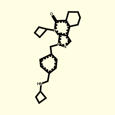 O=c1c2c(c3cnn(Cc4ccc(CNC5CCC5)cc4)c3n1C1CCC1)CCCC2